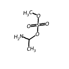 COS(=O)(=O)OC(C)N